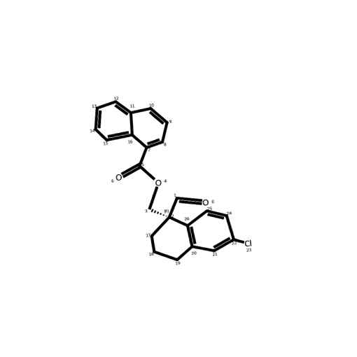 O=C[C@]1(COC(=O)c2cccc3ccccc23)CCCc2cc(Cl)ccc21